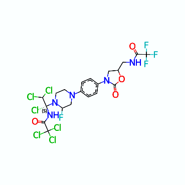 O=C1OC(CNC(=O)C(F)(F)F)CN1c1ccc(N2CCN([C@@](Cl)(NC(=O)C(Cl)(Cl)Cl)C(Cl)Cl)C(F)C2)cc1